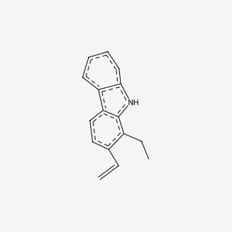 C=Cc1ccc2c([nH]c3ccccc32)c1CC